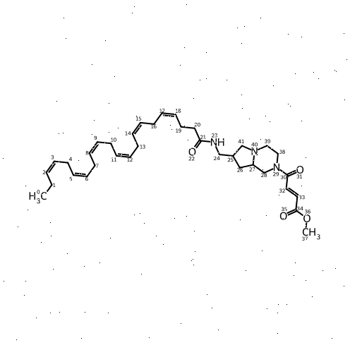 CC/C=C\C/C=C\C/C=C\C/C=C\C/C=C\C/C=C\CCC(=O)NCC1CC2CN(C(=O)/C=C/C(=O)OC)CCN2C1